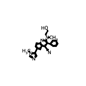 CN(CCO)c1nc2ccc(-c3cncn3C)cc2c(C#N)c1-c1ccccc1